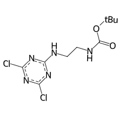 CC(C)(C)OC(=O)NCCNc1nc(Cl)nc(Cl)n1